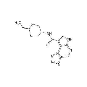 CC[C@H]1CC[C@H](NC(=O)c2c[nH]c3ncc4nncn4c23)CC1